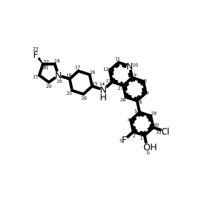 Oc1c(F)cc(-c2ccc3nc[c]c(NC4CCC(N5CC[C@@H](F)C5)CC4)c3c2)cc1Cl